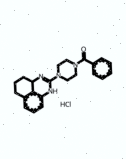 Cl.O=C(c1ccccc1)N1CCN(C2=NC3CCCc4cccc(c43)N2)CC1